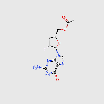 CC(=O)OC[C@@H]1C[C@@H](F)[C@H](n2cnc3c(=O)[nH]c(N)nc32)O1